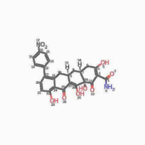 NC(=O)C1=C(O)C[C@@H]2C[C@@H]3Cc4c(-c5ccc([N+](=O)[O-])cc5)ccc(O)c4C(=O)C3=C(O)[C@]2(O)C1=O